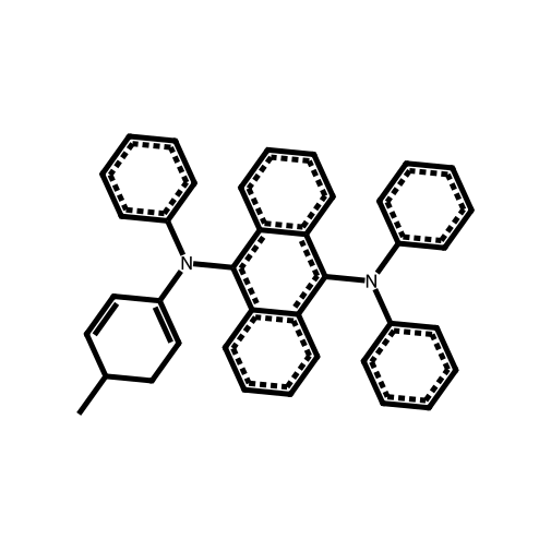 CC1C=CC(N(c2ccccc2)c2c3ccccc3c(N(c3ccccc3)c3ccccc3)c3ccccc23)=CC1